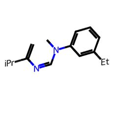 C=C(/N=C\N(C)c1cccc(CC)c1)C(C)C